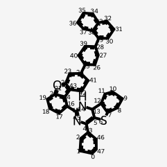 c1ccc(C2=C3Sc4ccccc4C3NC(c3cccc4oc5cc(-c6ccc(-c7cccc8ccccc78)cc6)ccc5c34)=N2)cc1